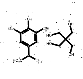 CC(C(=O)O)c1cc(C(C)(C)C)c(O)c(C(C)(C)C)c1.OCC(CO)(CO)CO